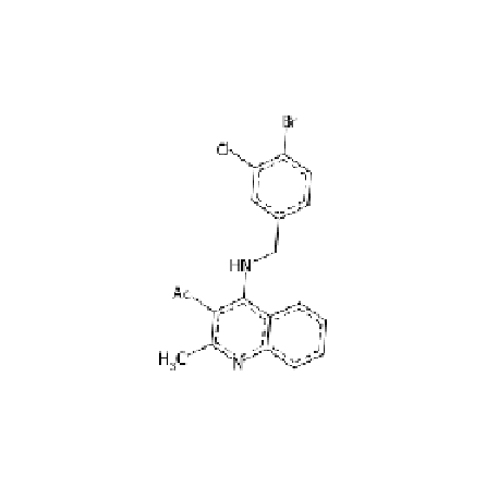 CC(=O)c1c(C)nc2ccccc2c1NCc1ccc(Br)c(Cl)c1